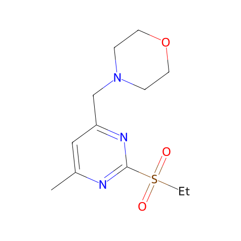 CCS(=O)(=O)c1nc(C)cc(CN2CCOCC2)n1